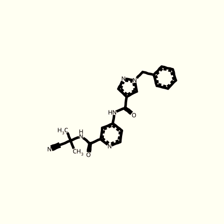 CC(C)(C#N)NC(=O)c1cc(NC(=O)c2cnn(Cc3ccccc3)c2)ccn1